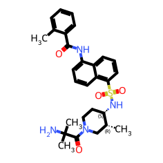 Cc1ccccc1C(=O)Nc1cccc2c(S(=O)(=O)N[C@H]3CCN(C(=O)C(C)(C)N)C[C@H]3C)cccc12